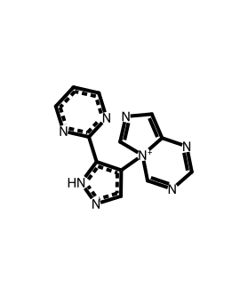 C1=NC=NC2=CN=C[N+]12c1cn[nH]c1-c1ncccn1